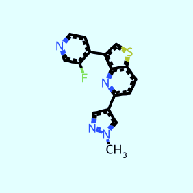 Cn1cc(-c2ccc3scc(-c4ccncc4F)c3n2)cn1